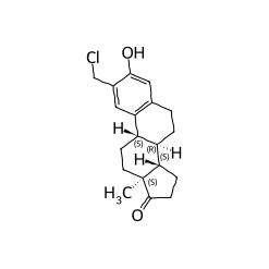 C[C@]12CC[C@@H]3c4cc(CCl)c(O)cc4CC[C@H]3[C@@H]1CCC2=O